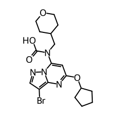 O=C(O)N(CC1CCOCC1)c1cc(OC2CCCC2)nc2c(Br)cnn12